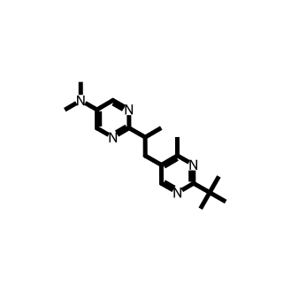 Cc1nc(C(C)(C)C)ncc1CC(C)c1ncc(N(C)C)cn1